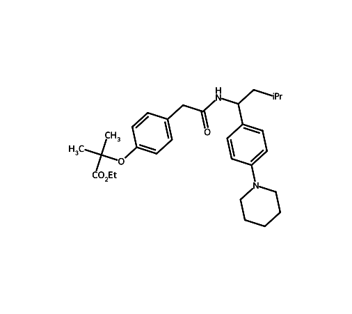 CCOC(=O)C(C)(C)Oc1ccc(CC(=O)NC(CC(C)C)c2ccc(N3CCCCC3)cc2)cc1